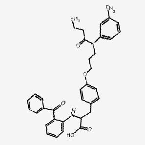 CCCC(=O)N(CCCOc1ccc(CC(Nc2ccccc2C(=O)c2ccccc2)C(=O)O)cc1)c1cccc(C)c1